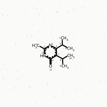 Cc1nc(C(C)C)c(C(C)C)c(=O)[nH]1